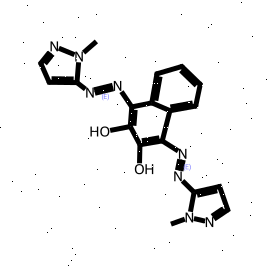 Cn1nccc1/N=N/c1c(O)c(O)c(/N=N/c2ccnn2C)c2ccccc12